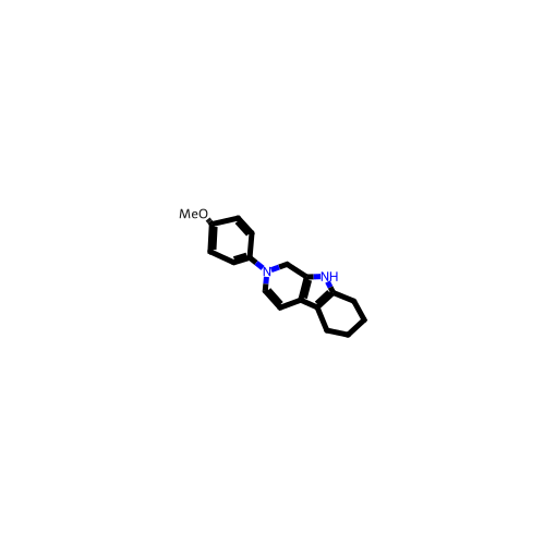 COc1ccc(N2C=Cc3c([nH]c4c3CCCC4)C2)cc1